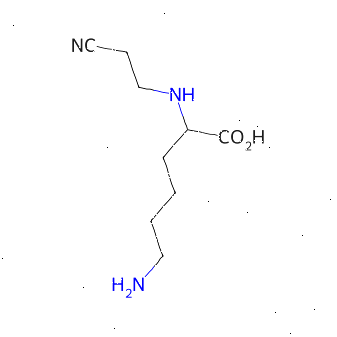 N#CCCNC(CCCCN)C(=O)O